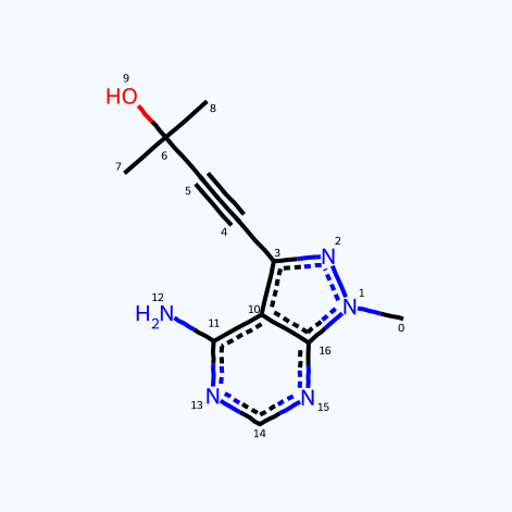 Cn1nc(C#CC(C)(C)O)c2c(N)ncnc21